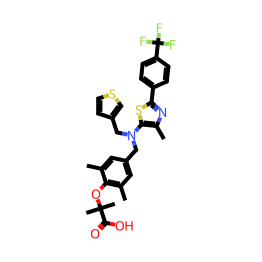 Cc1cc(CN(Cc2ccsc2)c2sc(-c3ccc(C(F)(F)F)cc3)nc2C)cc(C)c1OC(C)(C)C(=O)O